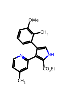 CCOC(=O)c1[nH]cc(-c2cccc(OC)c2C)c1-c1cc(C)ccn1